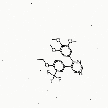 CCOc1ccc(-c2cncnc2-c2cc(OC)c(OC)c(OC)c2)cc1C(F)(F)F